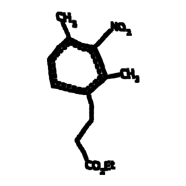 CCOC(=O)CCc1ccc(C)c([N+](=O)[O-])c1C